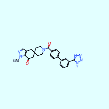 CC(C)(C)n1ncc2c1C(=O)CC1(CCN(C(=O)c3ccc(-c4cccc(-c5nnn[nH]5)c4)cc3)CC1)C2